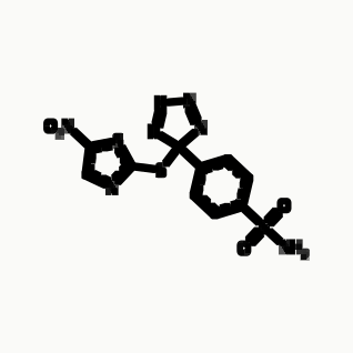 NS(=O)(=O)c1ccc(C2(Sc3ncc([N+](=O)[O-])s3)N=NN=N2)cc1